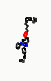 O=C(O)CCCCCOc1ccc2nc(-c3ccc([N+](=O)[O-])cc3)n(-c3ccccc3)c2c1